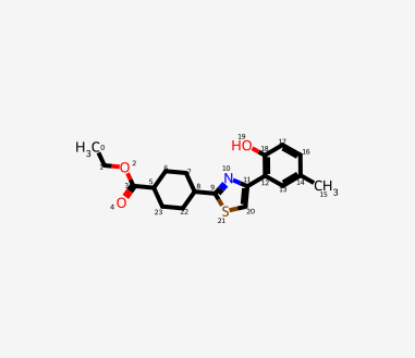 CCOC(=O)C1CCC(c2nc(-c3cc(C)ccc3O)cs2)CC1